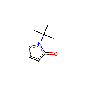 CC(C)(C)n1sccc1=O